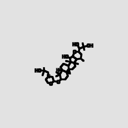 C[C@@H]1CC(C(O)C(C)(C)O)OC2C1C1(C)CCC34CC35CCC(OC3CN(CC(C)(C)O)CCO3)C(C)(C)[C@@H]5CCC4[C@]1(C)[C@H]2O